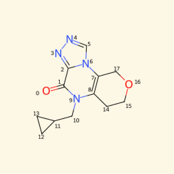 O=c1c2nncn2c2c(n1CC1CC1)CCOC2